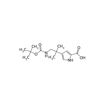 CC(C)(C)OC(=O)NCC(C)(C)c1c[nH]c(C(=O)O)c1